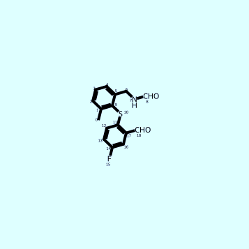 Cc1cccc(CNC=O)c1Sc1ccc(F)cc1C=O